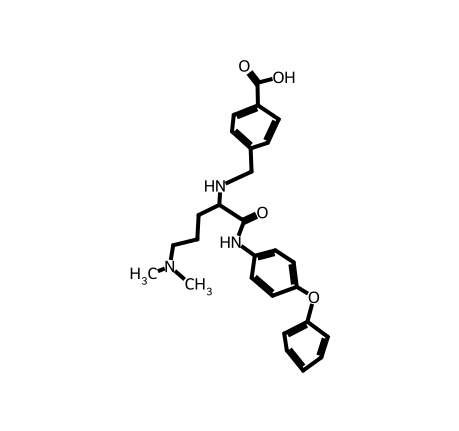 CN(C)CCCC(NCc1ccc(C(=O)O)cc1)C(=O)Nc1ccc(Oc2ccccc2)cc1